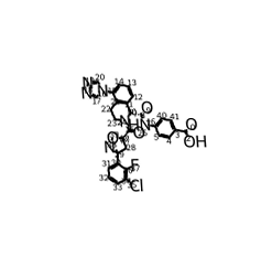 O=C(O)c1ccc(NC(=O)[C@H]2c3cccc(-n4cnnc4)c3CCN2C(=O)[C@H]2CC(c3cccc(Cl)c3F)=NO2)cc1